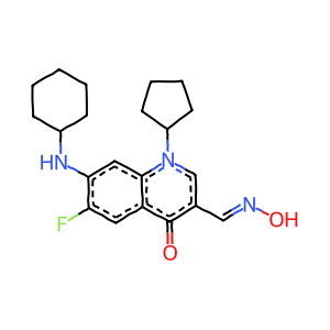 O=c1c(/C=N/O)cn(C2CCCC2)c2cc(NC3CCCCC3)c(F)cc12